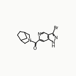 O=C(c1cc2[nH]nc(Br)c2cn1)N1CC2CCC(C2)C1